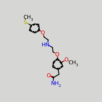 COc1cc(CC(N)=O)ccc1OCCNCCOc1ccc(SC)cc1